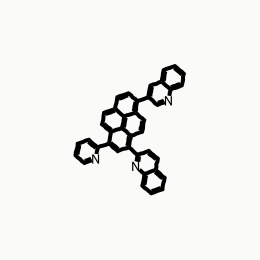 c1ccc(-c2cc(-c3ccc4ccccc4n3)c3ccc4c(-c5cnc6ccccc6c5)ccc5ccc2c3c54)nc1